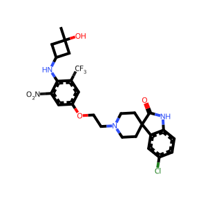 CC1(O)CC(Nc2c([N+](=O)[O-])cc(OCCN3CCC4(CC3)C(=O)Nc3ccc(Cl)cc34)cc2C(F)(F)F)C1